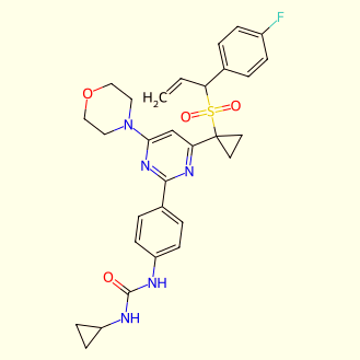 C=CC(c1ccc(F)cc1)S(=O)(=O)C1(c2cc(N3CCOCC3)nc(-c3ccc(NC(=O)NC4CC4)cc3)n2)CC1